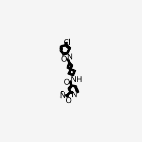 CN(C)C(=O)c1cc(C(=O)NC2CC3(C2)CC(c2nc4cc(Cl)ccc4o2)C3)ccn1